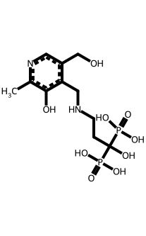 Cc1ncc(CO)c(CNCCC(O)(P(=O)(O)O)P(=O)(O)O)c1O